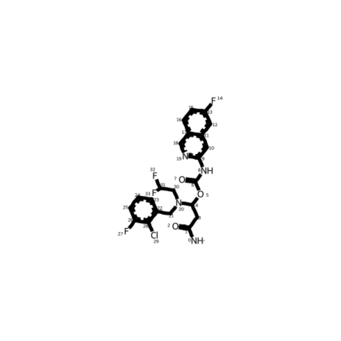 [NH]C(=O)CC(OC(=O)Nc1cc2cc(F)ccc2cn1)N(Cc1cccc(F)c1Cl)CC(F)F